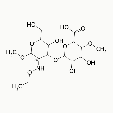 CCON[C@@H]1C(OC)OC(CO)C(O)C1OC1OC(C(=O)O)C(OC)C(O)C1O